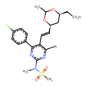 CC1O[C@@H](CC(=O)O)C[C@@H](/C=C/c2c(-c3ccc(F)cc3)nc(N(C)S(C)(=O)=O)nc2C(C)C)O1